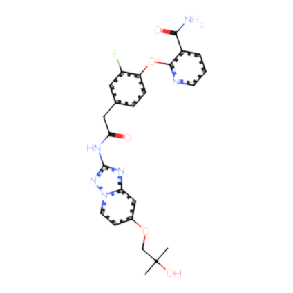 CC(C)(O)COc1ccn2nc(NC(=O)Cc3ccc(Oc4ncccc4C(N)=O)c(F)c3)nc2c1